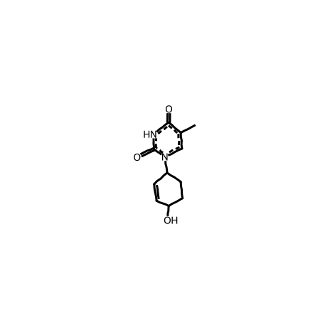 Cc1cn(C2C=CC(O)CC2)c(=O)[nH]c1=O